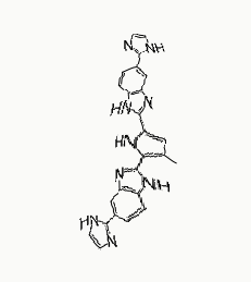 Cc1cc(-c2nc3cc(-c4ncc[nH]4)ccc3[nH]2)[nH]c1-c1nc2cc(-c3ncc[nH]3)ccc2[nH]1